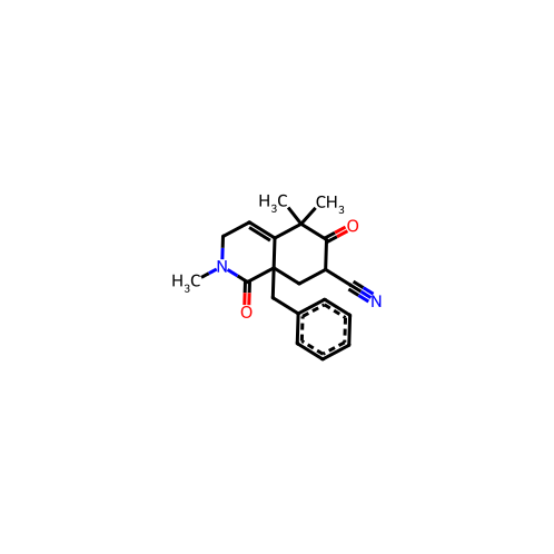 CN1CC=C2C(C)(C)C(=O)C(C#N)CC2(Cc2ccccc2)C1=O